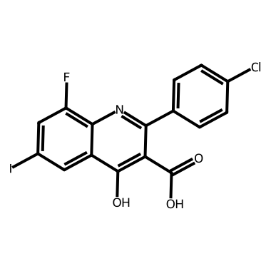 O=C(O)c1c(-c2ccc(Cl)cc2)nc2c(F)cc(I)cc2c1O